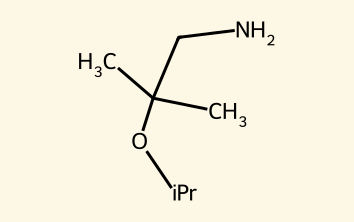 CC(C)OC(C)(C)CN